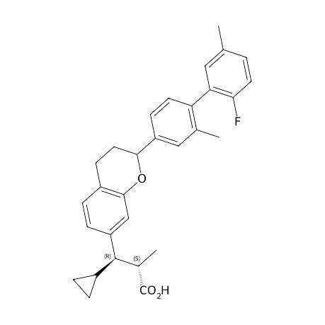 Cc1ccc(F)c(-c2ccc(C3CCc4ccc([C@H](C5CC5)[C@H](C)C(=O)O)cc4O3)cc2C)c1